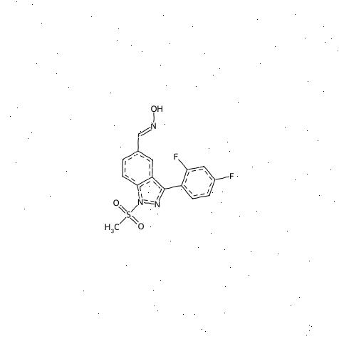 CS(=O)(=O)n1nc(-c2ccc(F)cc2F)c2cc(C=NO)ccc21